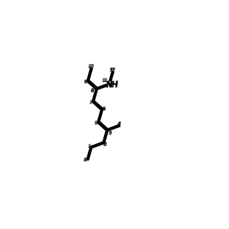 CCCC(C)CCCC(CC)NC